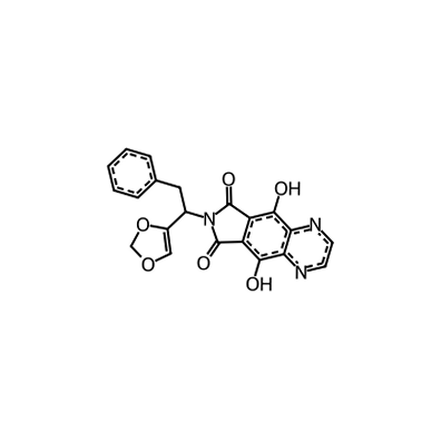 O=C1c2c(c(O)c3nccnc3c2O)C(=O)N1C(Cc1ccccc1)C1=COCO1